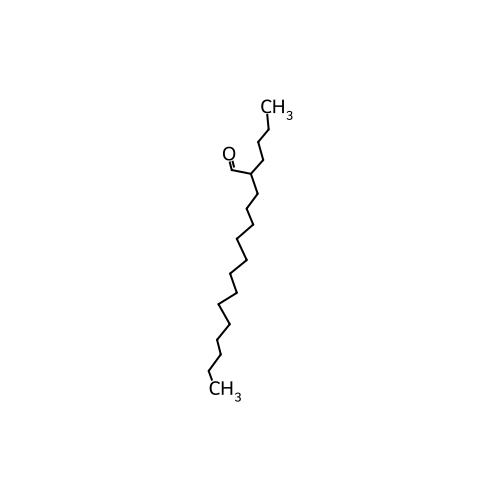 CCCCCCCCCCCCCC(C=O)CCCC